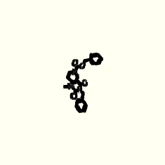 Cn1c2c(c(=O)n(Cc3ccccc3)c1=O)CN(C(=O)OCc1ccccc1)CC2